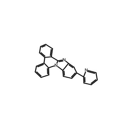 c1ccc(-c2ccc3c(c2)nc2c4ccccc4c4ccccc4n32)nc1